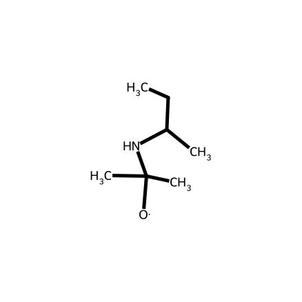 CCC(C)NC(C)(C)[O]